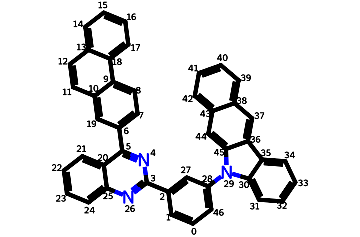 c1cc(-c2nc(-c3ccc4c(ccc5ccccc54)c3)c3ccccc3n2)cc(-n2c3ccccc3c3cc4ccccc4cc32)c1